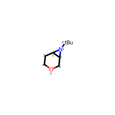 CC(C)(C)N1C2CCOCC21